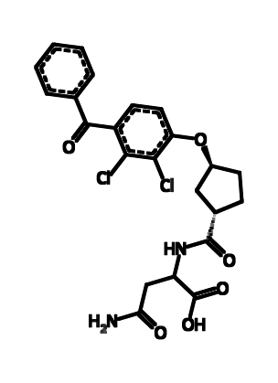 NC(=O)CC(NC(=O)[C@H]1CC[C@H](Oc2ccc(C(=O)c3ccccc3)c(Cl)c2Cl)C1)C(=O)O